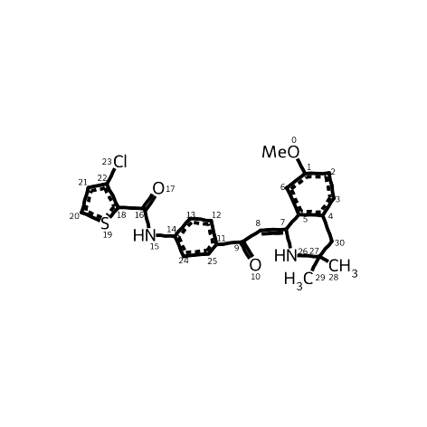 COc1ccc2c(c1)/C(=C/C(=O)c1ccc(NC(=O)c3sccc3Cl)cc1)NC(C)(C)C2